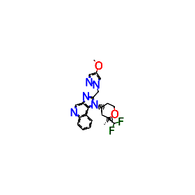 COc1cnn(Cc2nc3cnc4ccccc4c3n2[C@@H]2CCO[C@@](C)(C(F)F)C2)c1